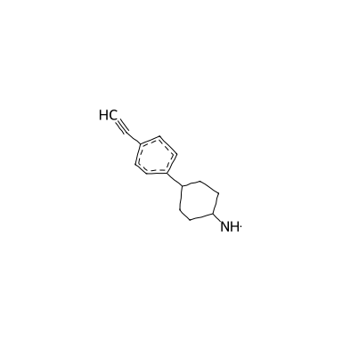 C#Cc1ccc(C2CCC([NH])CC2)cc1